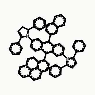 C1=C(c2ccccc2)N(c2ccc3c(-c4ccc5ccc6cccc7ccc4c5c67)c4cc(-n5c(-c6ccccc6)ccc5-c5ccccc5)ccc4c(-c4ccc5ccccc5c4)c3c2)C(c2ccccc2)C1